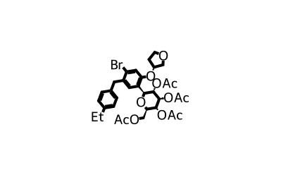 CCc1ccc(Cc2cc([C@@H]3O[C@H](COC(C)=O)[C@@H](OC(C)=O)[C@H](OC(C)=O)[C@H]3OC(C)=O)c(O[C@@H]3CCOC3)cc2Br)cc1